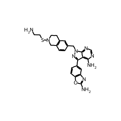 NCCSN1CCc2cc(Cn3nc(-c4ccc5oc(N)nc5c4)c4c(N)ncnc43)ccc2C1